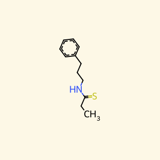 CCC(=S)NCCCc1ccccc1